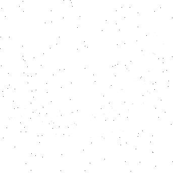 COc1ccccc1SN1CCN(c2cnc3ccc(-c4cncc(NS(=O)(=O)c5ccccc5)c4)cc3n2)CC1